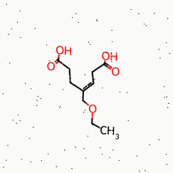 CCOCC(=CCC(=O)O)CCC(=O)O